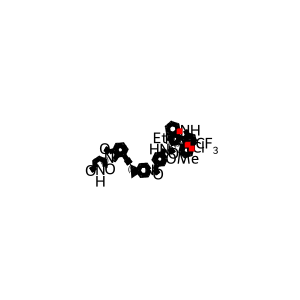 CCN1[C@@H](C(=O)Nc2ccc(C(=O)N3CCC4(CC3)C[C@@H]4C#Cc3cccc4c3CN([C@H]3CCC(=O)NC3=O)C4=O)cc2OC)[C@H](c2cccc(Cl)c2F)[C@]2(CNc3cc(C(F)(F)F)ncc32)C12CCCCC2